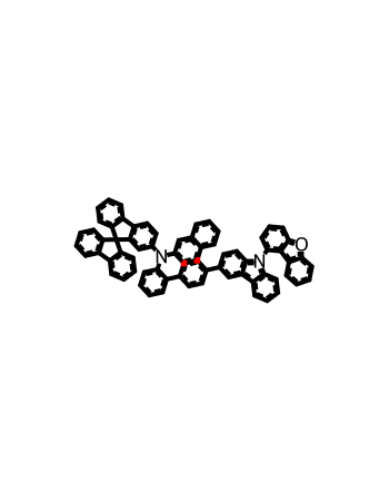 c1ccc(N(c2ccc3c(c2)C2(c4ccccc4-c4ccccc42)c2ccccc2-3)c2ccc3ccccc3c2)c(-c2ccc(-c3ccc4c(c3)c3ccccc3n4-c3cccc4oc5ccccc5c34)cc2)c1